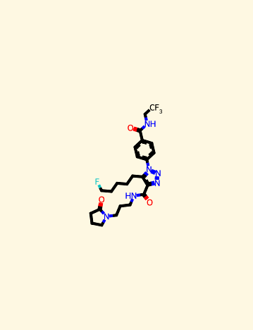 O=C(NCC(F)(F)F)c1ccc(-n2nnc(C(=O)NCCCN3CCCC3=O)c2CCCCCF)cc1